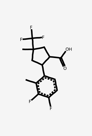 Cc1c(C2CC(C)(C(F)(F)F)CC2C(=O)O)ccc(F)c1F